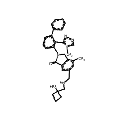 Cn1cnnc1-c1c(-c2ccccc2)cccc1N1Cc2c(cc(CNCC3(O)CCC3)cc2C(F)(F)F)C1=O